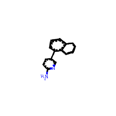 Nc1ccc(-c2cccc3c2C=C=C=C3)cn1